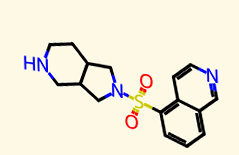 O=S(=O)(c1cccc2cnccc12)N1CC2CCNCC2C1